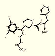 CNC[C@H](CC1CCOCC1)NC(=O)N1CCC[C@@H]([C@@H](OCCNC(=O)O)c2cc(F)cc(F)c2)C1